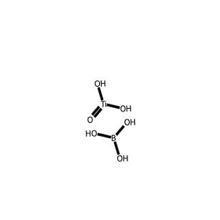 OB(O)O.[O]=[Ti]([OH])[OH]